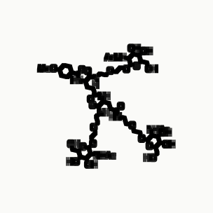 COC1CCC(C(=O)NC(CCC(=O)NC(CCC(=O)NCCOCCOC2OC(CO)C(O)C(O)C2NC(C)=O)C(=O)NCCOCCOC2OC(CO)C(O)C(O)C2NC(C)=O)C(=O)NCCOCCOC2OC(CO)C(O)C(O)C2NC(C)=O)CC1